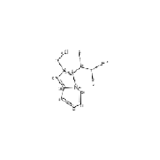 FC(F)C(F)c1c(CCl)nc2ccccn12